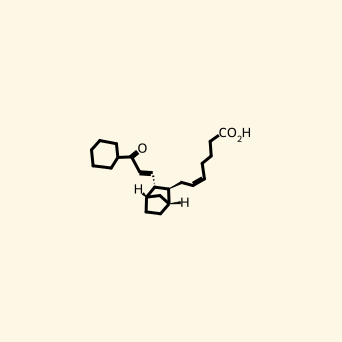 O=C(O)CCC/C=C\C[C@H]1[C@@H]2CC[C@@H](C2)[C@@H]1/C=C/C(=O)C1CCCCC1